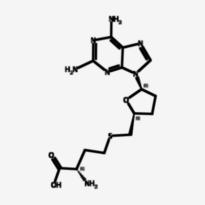 Nc1nc(N)c2ncn([C@H]3CC[C@@H](CSCC[C@H](N)C(=O)O)O3)c2n1